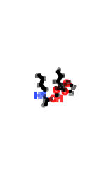 CCCCNC(C)O.CCC[Si](OC)(OC)OC